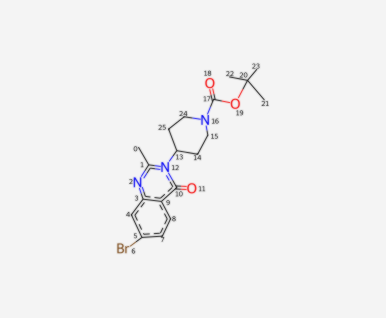 Cc1nc2cc(Br)ccc2c(=O)n1C1CCN(C(=O)OC(C)(C)C)CC1